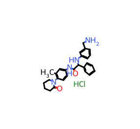 Cc1cc(NC(=O)C(Nc2cccc(CN)c2)c2ccccc2)ccc1N1CCCCC1=O.Cl